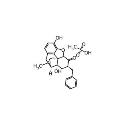 CN1CC[C@]23c4c5ccc(O)c4OC2C(=O)[C@@H](Cc2ccccc2)C[C@@]3(O)[C@H]1C5.CS(=O)(=O)O